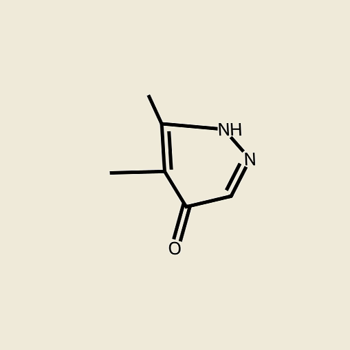 Cc1[nH]ncc(=O)c1C